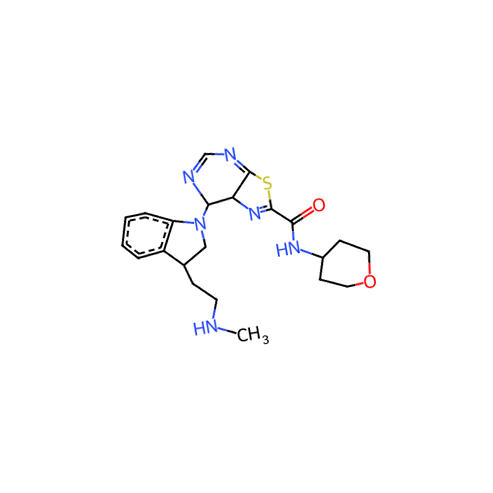 CNCCC1CN(C2N=CN=C3SC(C(=O)NC4CCOCC4)=NC32)c2ccccc21